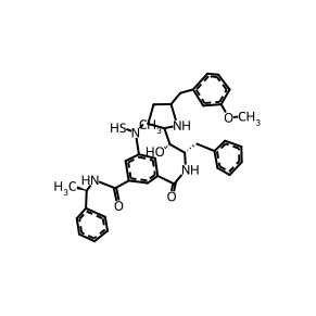 COc1cccc(CC2CCC([C@@H](O)[C@H](Cc3ccccc3)NC(=O)c3cc(C(=O)N[C@H](C)c4ccccc4)cc(N(C)S)c3)N2)c1